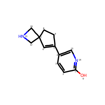 Oc1ccc(C2=CC3(CC2)CNC3)cn1